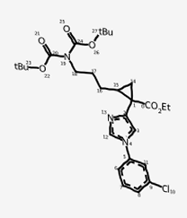 CCOC(=O)C1(c2cn(-c3cccc(Cl)c3)cn2)CC1CCCN(C(=O)OC(C)(C)C)C(=O)OC(C)(C)C